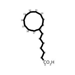 O=C(O)CCCCCCC1CCCCCCCCCC1